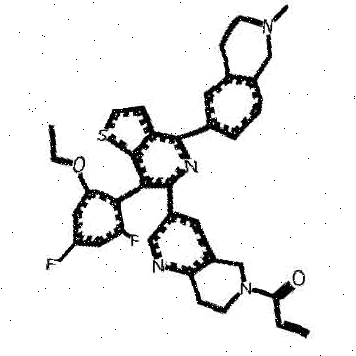 C=CC(=O)N1CCc2ncc(-c3nc(-c4ccc5c(c4)CCN(C)C5)c4ccsc4c3-c3c(F)cc(F)cc3OCC)cc2C1